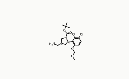 COCOc1ccc(Cl)c(Cl)c1[C@H]1C[C@@H](CN)CN1C(=O)OC(C)(C)C